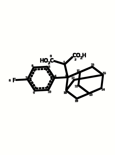 O=C(O)C(C(=O)O)C1(c2ccc(F)cc2)C2CC3CC(C2)CC1C3